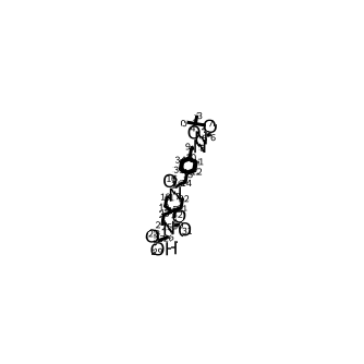 CC(C)(C)ON(C=O)N=Cc1ccc(CC(=O)N2CCC3(CC2)CCN(CC(=O)O)C(=O)O3)cc1